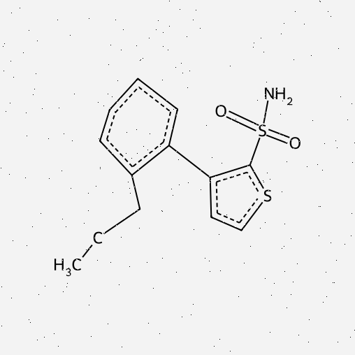 CCCc1ccccc1-c1ccsc1S(N)(=O)=O